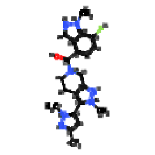 Cn1nc(C(F)(F)F)cc1-c1c2c(nn1C)CN(C(=O)c1ccc(F)c3c1cnn3C)CC2